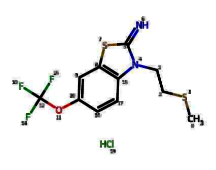 CSCCn1c(=N)sc2cc(OC(F)(F)F)ccc21.Cl